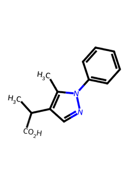 Cc1c(C(C)C(=O)O)cnn1-c1ccccc1